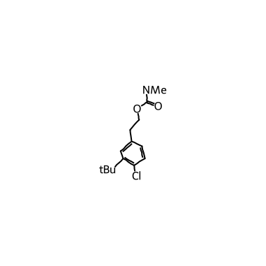 CNC(=O)OCCc1ccc(Cl)c(C(C)(C)C)c1